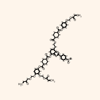 C=CC(=O)COCOc1ccc(OC(=O)C2CCC(C(=O)Oc3ccc(CCOC(=O)C4CCC(C(=O)Oc5ccc(OCOC(=O)C=C)cc5)CC4)c4sc(-c5ccc([N+](=O)[O-])cc5)nc34)CC2)cc1OCOC(=O)C=C